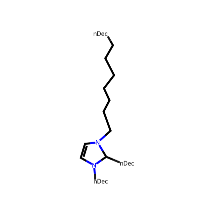 CCCCCCCCCCCCCCCCCN1C=CN(CCCCCCCCCC)C1CCCCCCCCCC